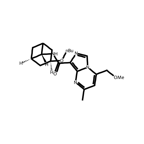 CCCCO[C@@H]1CC2C[C@H](C1)[C@H]2NC(=O)c1ncn2c(COC)cc(C)nc12